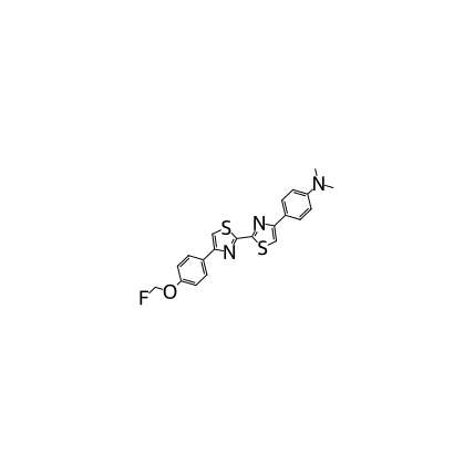 CN(C)c1ccc(-c2csc(-c3nc(-c4ccc(OCF)cc4)cs3)n2)cc1